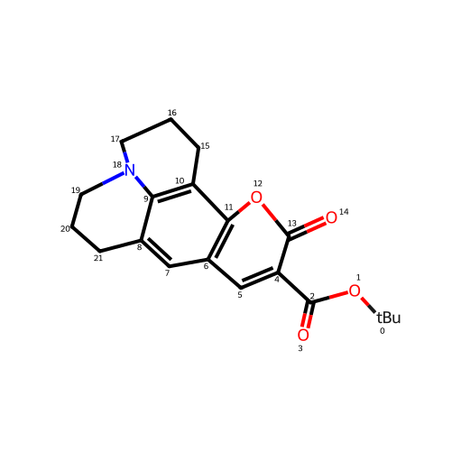 CC(C)(C)OC(=O)c1cc2cc3c4c(c2oc1=O)CCCN4CCC3